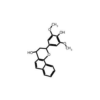 COc1cc(C2CC(O)c3ccc4ccccc4c3O2)cc(OC)c1O